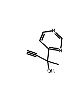 C#CC(C)(O)c1ccncn1